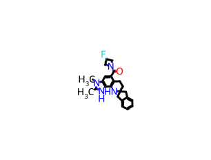 CC1Nc2c(cc(C(=O)N3CC(F)C3)c3c2NC2(CC3)Cc3ccccc3C2)N1C